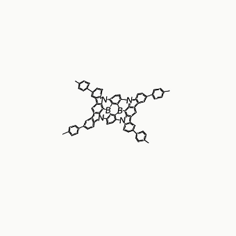 Cc1ccc(-c2ccc3c(c2)c2cc4c5cc(-c6ccc(C)cc6)ccc5n5c4c4c2n3-c2ccc3c6c2B4c2c-5ccc4c2B6c2c5c(cc6c7cc(-c8ccc(C)cc8)ccc7n-4c26)c2cc(-c4ccc(C)cc4)ccc2n5-3)cc1